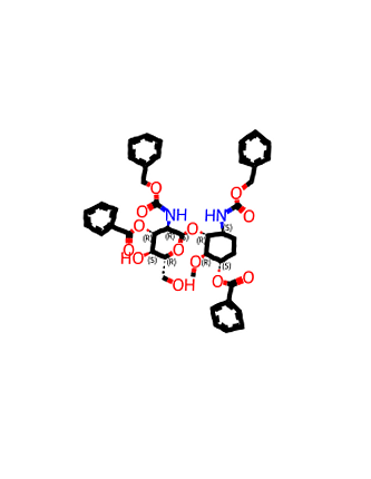 CO[C@H]1[C@H](O[C@H]2O[C@H](CO)[C@@H](O)[C@H](OC(=O)c3ccccc3)[C@H]2NC(=O)OCc2ccccc2)[C@@H](NC(=O)OCc2ccccc2)CC[C@@H]1OC(=O)c1ccccc1